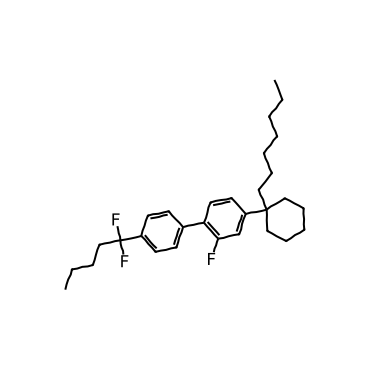 CCCCCCCC1(c2ccc(-c3ccc(C(F)(F)CCCC)cc3)c(F)c2)CCCCC1